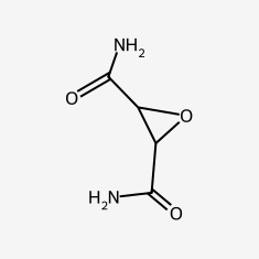 NC(=O)C1OC1C(N)=O